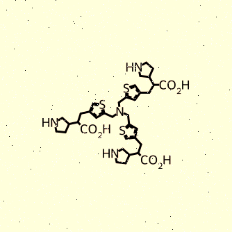 O=C(O)C(Cc1csc(CN(Cc2cc(CC(C(=O)O)C3CCNC3)cs2)Cc2cc(CC(C(=O)O)C3CCNC3)cs2)c1)C1CCNC1